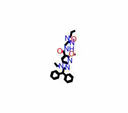 CCc1nc(CNC(=O)c2cc3c(nc2OC)nc(C(c2ccccc2)c2ccccc2)n3CC)no1